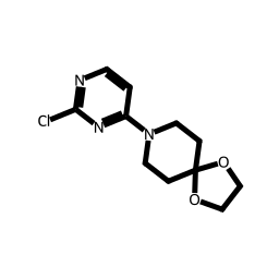 Clc1nccc(N2CCC3(CC2)OCCO3)n1